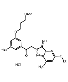 CCOc1cc(C)c2nn(CC(=O)c3cc(OCCCOC)cc(C(C)(C)C)c3)c(=N)n2n1.Cl